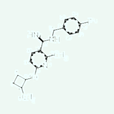 Cc1nc(OC2CCC2C)ccc1C(=N)NCc1ccc(F)cc1